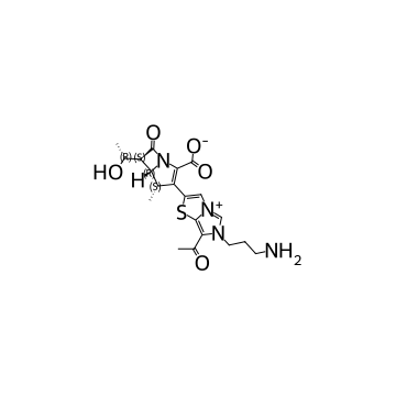 CC(=O)c1c2sc(C3=C(C(=O)[O-])N4C(=O)[C@H]([C@@H](C)O)[C@H]4[C@H]3C)c[n+]2cn1CCCN